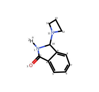 [2H]N1C(=O)c2ccccc2C1N1CCC1